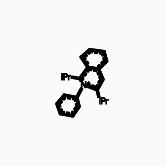 CC(C)c1cc2ccccc2c(C(C)C)[n+]1-c1ccccc1